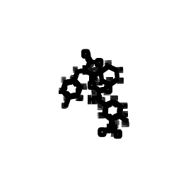 Cc1ccc(CN2C(=O)OC3(CCCCC3)N2OC(=O)Nc2ccc(C)c([N+](=O)[O-])c2)cc1